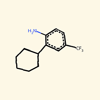 Nc1ccc(C(F)(F)F)cc1C1CCCCC1